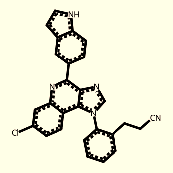 N#CCCc1ccccc1-n1cnc2c(-c3ccc4[nH]ccc4c3)nc3cc(Cl)ccc3c21